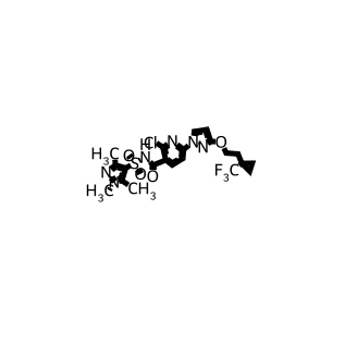 Cc1nn(C)c(C)c1S(=O)(=O)NC(=O)c1ccc(-n2ccc(OCCC3(C(F)(F)F)CC3)n2)nc1Cl